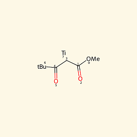 COC(=O)CC(=O)C(C)(C)C.[Ti]